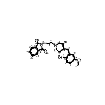 COc1ccc(Br)c(CC2CCN(CCCN3C(=O)c4ccccc4C3=O)CC2)c1